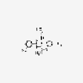 Cc1ccc(-c2c(OCCO)nc(-c3ccnc(C#N)c3)nc2C(N)=O)cc1